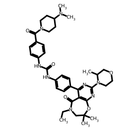 CCN1CC(C)(C)Oc2nc(N3CCOCC3C)nc(-c3ccc(NC(=O)Nc4ccc(C(=O)N5CCC(N(C)C)CC5)cc4)cc3)c2C1=O